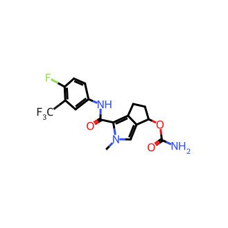 Cn1cc2c(c1C(=O)Nc1ccc(F)c(C(F)(F)F)c1)CCC2OC(N)=O